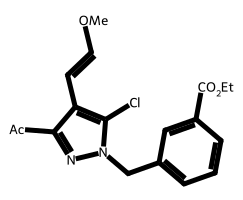 CCOC(=O)c1cccc(Cn2nc(C(C)=O)c(C=COC)c2Cl)c1